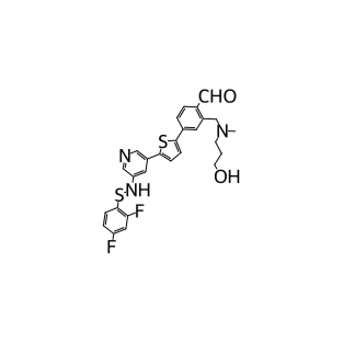 CN(CCCO)Cc1cc(-c2ccc(-c3cncc(NSc4ccc(F)cc4F)c3)s2)ccc1C=O